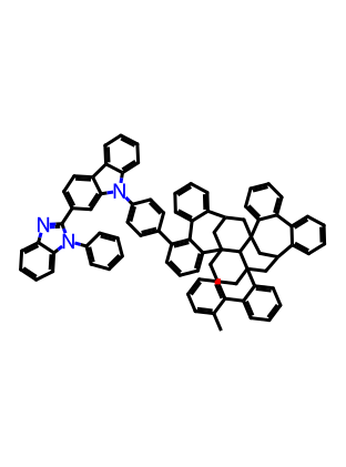 Cc1ccccc1-c1ccccc1C12CCCC34CC(CC5(CC(C1)c1ccccc1-c1ccccc15)C23)c1ccccc1-c1c(-c2ccc(-n3c5ccccc5c5ccc(-c6nc7ccccc7n6-c6ccccc6)cc53)cc2)cccc14